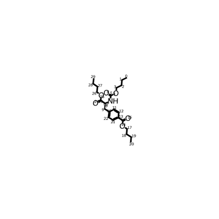 CCCCOC(=O)N[C@@H](Cc1ccc(C(=O)OCCCC)cc1)C(=O)OCCCC